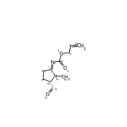 C=CCOC(=O)/N=C1/CC[C@@H](C=O)N1C